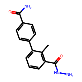 Cc1c(C(=O)NN)cccc1-c1ccc(C(N)=O)cc1